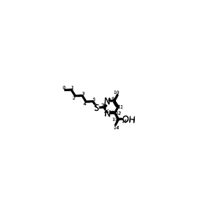 CCCCCCSc1nc(C)cc(C(C)O)n1